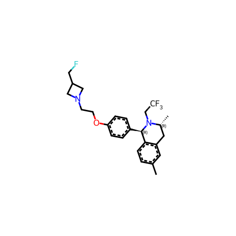 Cc1ccc2c(c1)C[C@@H](C)N(CC(F)(F)F)[C@@H]2c1ccc(OCCN2CC(CF)C2)cc1